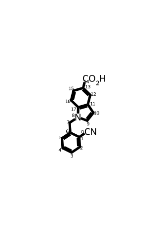 N#Cc1ccccc1Cn1ccc2cc(C(=O)O)ccc21